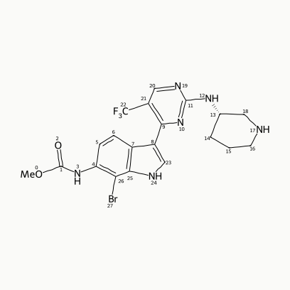 COC(=O)Nc1ccc2c(-c3nc(N[C@H]4CCCNC4)ncc3C(F)(F)F)c[nH]c2c1Br